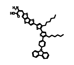 CCCCCCc1cc(-c2sc(-c3cc4sc5cc(/C=C(/N)C(=O)O)sc5c4s3)cc2CCCCCC)sc1C1=CCC(n2c3ccccc3c3ccccc32)C=C1